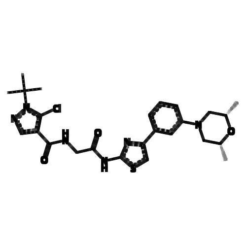 C[C@@H]1CN(c2cccc(-c3csc(NC(=O)CNC(=O)c4cnn(C(C)(C)C)c4Cl)n3)c2)C[C@H](C)O1